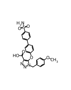 COc1ccc(Cn2nnc(C(=O)O)c2Oc2ccc(-c3ccc(S(N)(=O)=O)cc3)cc2)cc1